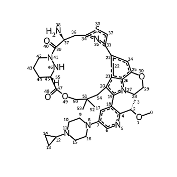 CO[C@@H](C)c1ncc(N2CCN(C3CC3)CC2)cc1-c1c2c3cc(cc4c3n1CCO4)-c1csc(n1)C[C@H](N)C(=O)N1CCC[C@H](N1)C(=O)OCC(C)(C)C2